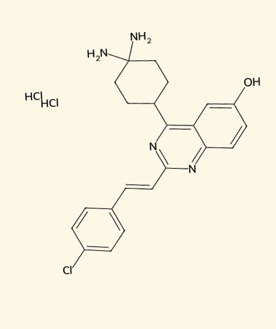 Cl.Cl.NC1(N)CCC(c2nc(C=Cc3ccc(Cl)cc3)nc3ccc(O)cc23)CC1